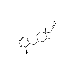 CC1CN(Cc2ccccc2F)CCC1(C)CC#N